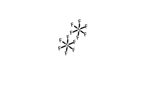 FS(F)(F)(F)(F)F.FS(F)(F)(F)(F)F